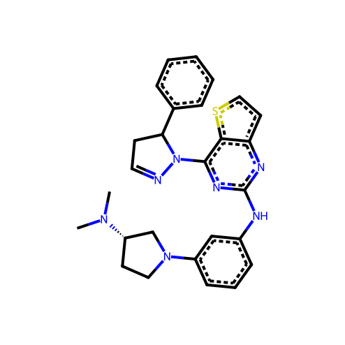 CN(C)[C@H]1CCN(c2cccc(Nc3nc(N4N=CCC4c4ccccc4)c4sccc4n3)c2)C1